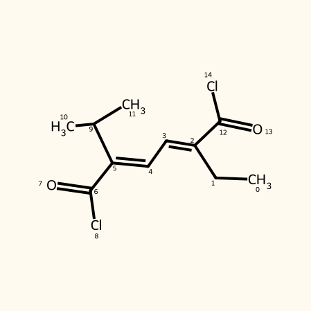 CC/C(=C\C=C(\C(=O)Cl)C(C)C)C(=O)Cl